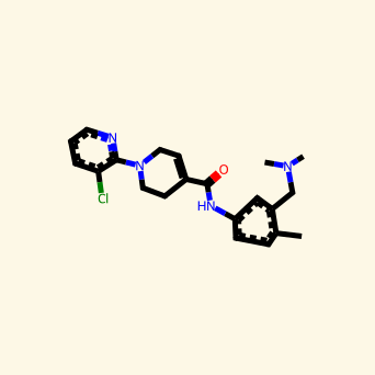 Cc1ccc(NC(=O)C2=CCN(c3ncccc3Cl)CC2)cc1CN(C)C